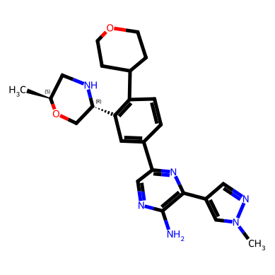 C[C@H]1CN[C@H](c2cc(-c3cnc(N)c(-c4cnn(C)c4)n3)ccc2C2CCOCC2)CO1